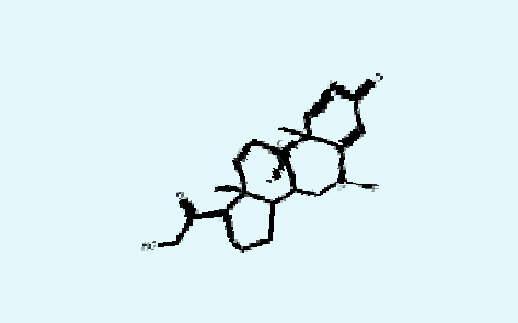 CC12CC[C@@]3(F)C(C[C@H](F)C4=CC(=O)C=CC43C)C1CCC2C(=O)CO